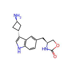 N[C@H]1C[C@H](c2c[nH]c3ccc(C[C@H]4COC(=O)N4)cc32)C1